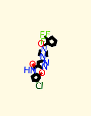 O=C1Nc2ccc(Cl)cc2Oc2nnc(N3CCN(C(=O)c4ccccc4C(F)(F)F)CC3)cc21